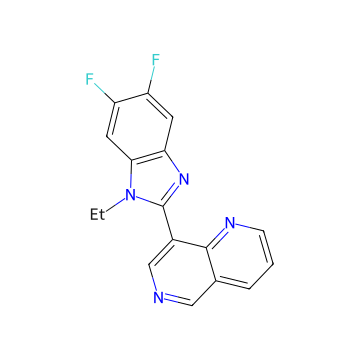 CCn1c(-c2cncc3cccnc23)nc2cc(F)c(F)cc21